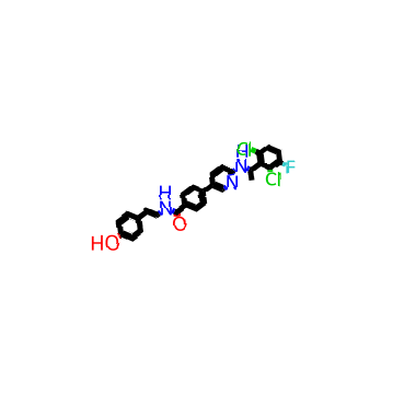 CC(Nc1ccc(-c2ccc(C(=O)NCCC3C=CC(O)=CC3)cc2)cn1)c1c(Cl)ccc(F)c1Cl